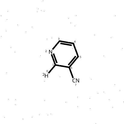 [2H]c1ncccc1C#N